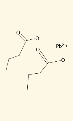 CCCC(=O)[O-].CCCC(=O)[O-].[Pb+2]